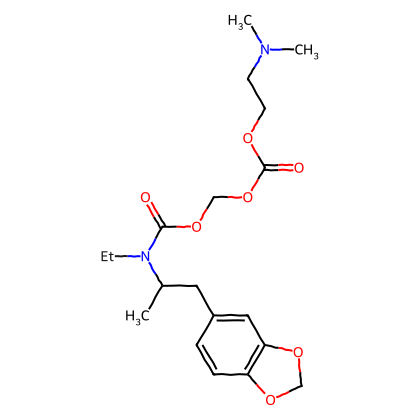 CCN(C(=O)OCOC(=O)OCCN(C)C)C(C)Cc1ccc2c(c1)OCO2